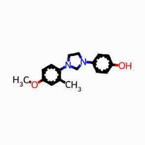 COc1ccc(N2CCN(c3ccc(O)cc3)C2)c(C)c1